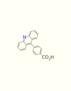 O=C(O)c1ccc(-c2c3ccccc3nc3ccccc23)cc1